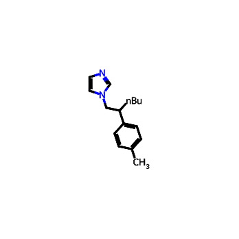 CCCCC(Cn1ccnc1)c1ccc(C)cc1